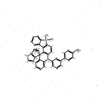 CC(C)S1(C(C)C)c2ccccc2-c2c1ccc1c2C2(c3ccccc3N1c1cccc(-c3ccc(C(C)(C)C)cc3)c1)c1ccoc1-c1occc12